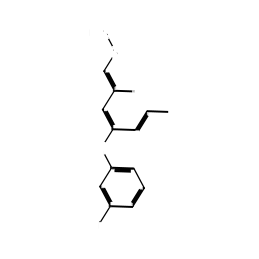 C/C=C/C(=C\C(F)=C\NN)Oc1cccc(Cl)c1